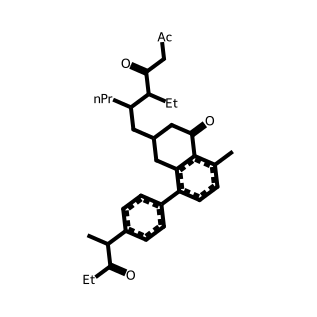 CCCC(CC1CC(=O)c2c(C)ccc(-c3ccc(C(C)C(=O)CC)cc3)c2C1)C(CC)C(=O)CC(C)=O